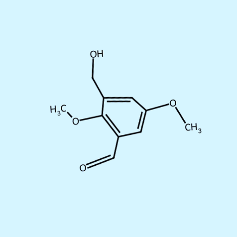 COc1cc(C=O)c(OC)c(CO)c1